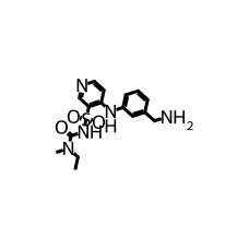 CCN(C)C(=O)NS(=O)(=O)c1cnccc1Nc1cccc(CN)c1